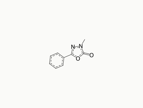 Cn1nc(-c2ccccc2)oc1=O